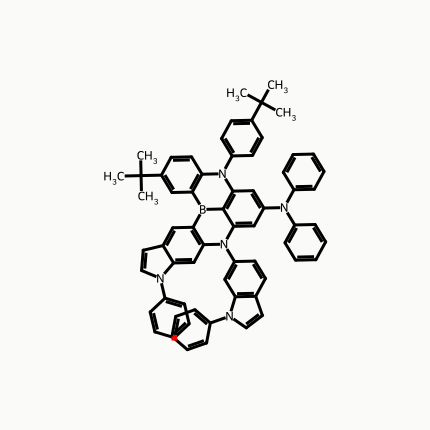 CC(C)(C)c1ccc(N2c3ccc(C(C)(C)C)cc3B3c4cc5ccn(-c6ccccc6)c5cc4N(c4ccc5ccn(-c6ccccc6)c5c4)c4cc(N(c5ccccc5)c5ccccc5)cc2c43)cc1